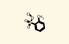 Cc1ccccc1S(=O)(=O)OCl